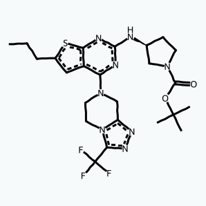 CCCc1cc2c(N3CCn4c(nnc4C(F)(F)F)C3)nc(N[C@H]3CCN(C(=O)OC(C)(C)C)C3)nc2s1